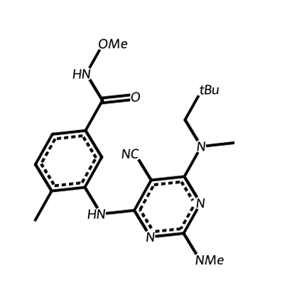 CNc1nc(Nc2cc(C(=O)NOC)ccc2C)c(C#N)c(N(C)CC(C)(C)C)n1